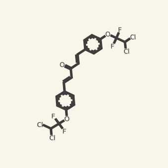 O=C(C=Cc1ccc(OC(F)(F)C(Cl)Cl)cc1)C=Cc1ccc(OC(F)(F)C(Cl)Cl)cc1